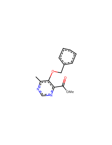 COC(=O)c1ncnc(C)c1OCc1ccccc1